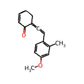 COc1ccc(C=C=C2CCC=CC2=O)c(C)c1